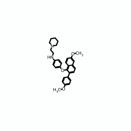 COc1ccc(-c2ccc3cc(OC)ccc3c2Oc2ccc(NCCN3CCCCC3)cc2)cc1